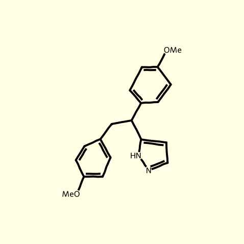 COc1ccc(CC(c2ccc(OC)cc2)c2ccn[nH]2)cc1